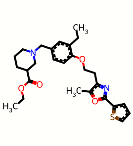 CCOC(=O)C1CCCN(Cc2ccc(OCCc3nc(-c4cccs4)oc3C)c(CC)c2)C1